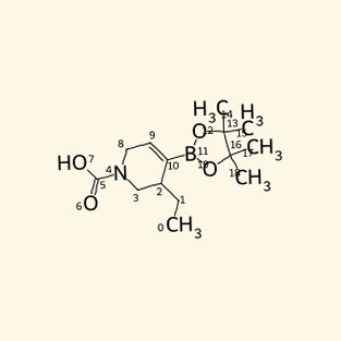 CCC1CN(C(=O)O)CC=C1B1OC(C)(C)C(C)(C)O1